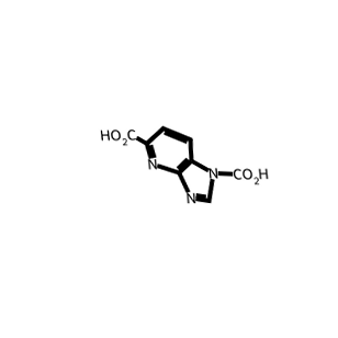 O=C(O)c1ccc2c(ncn2C(=O)O)n1